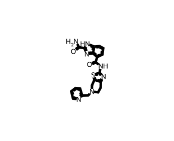 NC(=O)c1nc2c(C(=O)Nc3nc4c(s3)CN(Cc3ccccn3)CC4)cccc2[nH]1